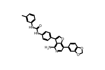 Cc1cccc(NC(=O)Nc2ccc(-c3coc4c(-c5ccc6c(c5)OCO6)cnc(N)c34)cc2)c1